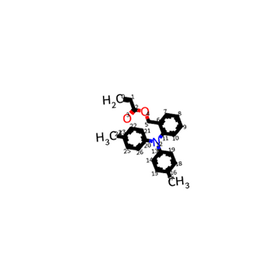 C=CC(=O)OCc1ccccc1N(c1ccc(C)cc1)c1ccc(C)cc1